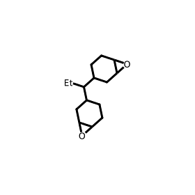 CCC(C1CCC2OC2C1)C1CCC2OC2C1